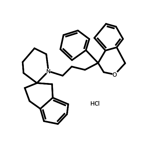 Cl.c1ccc(C2(CCCN3CCCCC34CCc3ccccc3C4)COCc3ccccc32)cc1